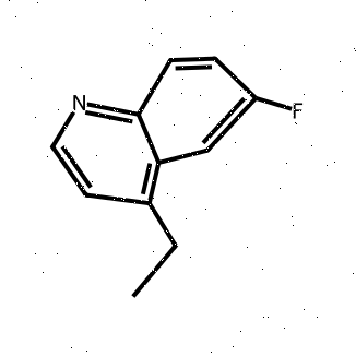 CCc1ccnc2ccc(F)cc12